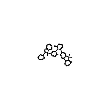 C=C1C=CC=C(c2ccc3c(c2)C(C)(C)c2ccccc2-3)C1c1cc(C(C)(C(=N)c2ccccc2)c2ccccc2)ccc1C